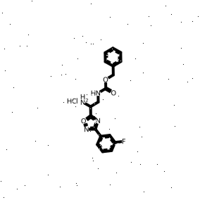 Cl.NC(CNC(=O)OCc1ccccc1)c1nc(-c2cccc(F)c2)no1